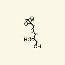 OCC(O)COCC12OC1O2